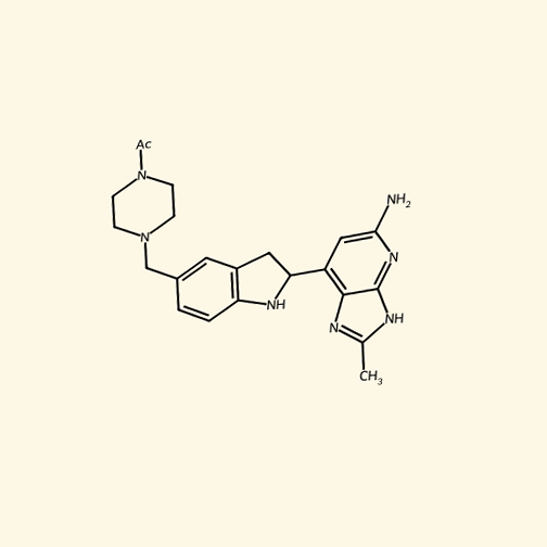 CC(=O)N1CCN(Cc2ccc3c(c2)CC(c2cc(N)nc4[nH]c(C)nc24)N3)CC1